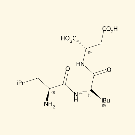 CC[C@H](C)[C@H](NC(=O)[C@@H](N)CC(C)C)C(=O)N[C@@H](CC(=O)O)C(=O)O